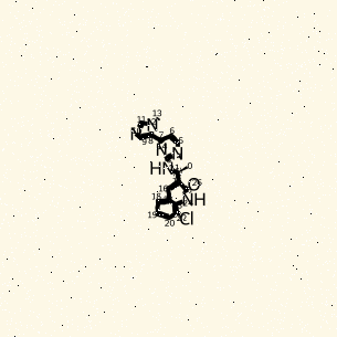 C[C@H](Nc1nccc(-c2cncn2C)n1)c1cc2cccc(Cl)c2[nH]c1=O